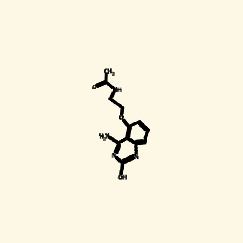 CC(=O)NCCOc1cccc2nc(O)nc(N)c12